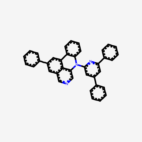 c1ccc(-c2cc(-c3ccccc3)nc(N3c4ccccc4-c4cc(-c5ccccc5)cc5cncc3c45)c2)cc1